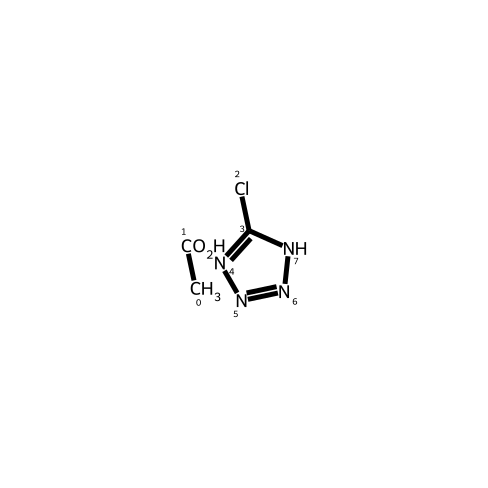 CC(=O)O.Clc1nnn[nH]1